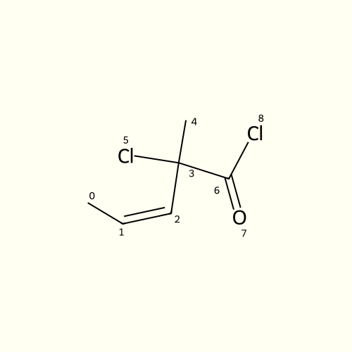 C/C=C\C(C)(Cl)C(=O)Cl